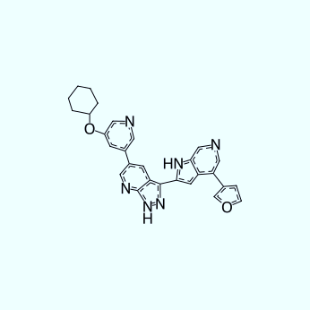 c1cc(-c2cncc3[nH]c(-c4n[nH]c5ncc(-c6cncc(OC7CCCCC7)c6)cc45)cc23)co1